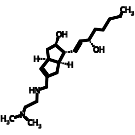 CCCCC[C@H](O)/C=C/[C@@H]1[C@H]2CC(CNCCN(C)C)=C[C@H]2C[C@H]1O